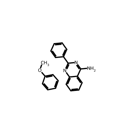 COc1ccccc1.Nc1nc(-c2ccccc2)nc2ccccc12